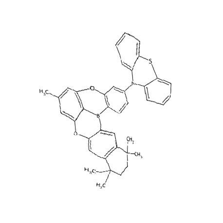 Cc1cc2c3c(c1)Oc1cc4c(cc1B3c1ccc(N3c5ccccc5Sc5ccccc53)cc1O2)C(C)(C)CCC4(C)C